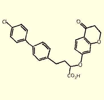 O=C1CCOc2cc(OC(CCc3ccc(-c4ccc(Cl)cc4)cc3)C(=O)O)ccc21